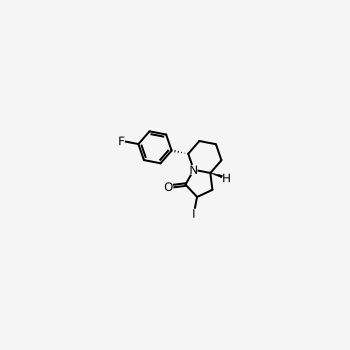 O=C1C(I)C[C@H]2CCC[C@@H](c3ccc(F)cc3)N12